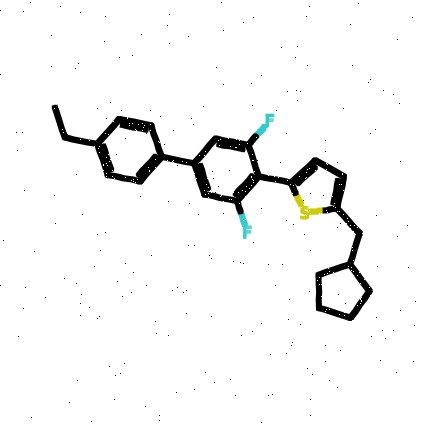 CCc1ccc(-c2cc(F)c(-c3ccc(CC4CCCC4)s3)c(F)c2)cc1